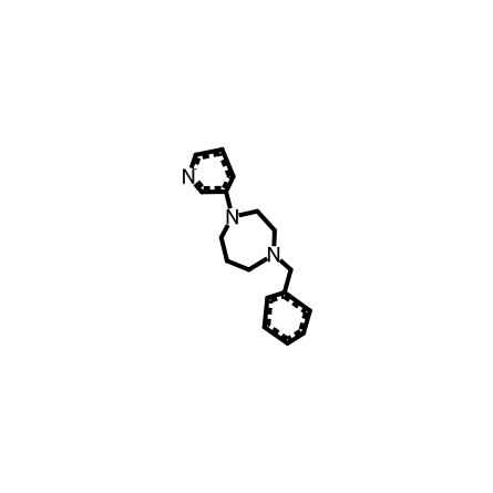 c1ccc(CN2CCCN(c3cccnc3)CC2)cc1